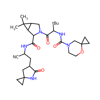 CC(C)(C)C(NC(=O)N1CCOC2(CC2)C1)C(=O)N1CC2C(C1C(=O)NC(C#N)CC1CC3(CC3)NC1=O)C2(C)C